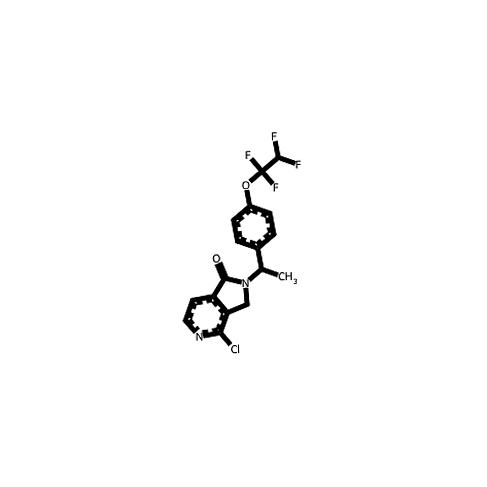 CC(c1ccc(OC(F)(F)C(F)F)cc1)N1Cc2c(ccnc2Cl)C1=O